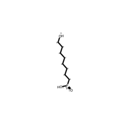 O=[PH](O)CCCCCCCCO